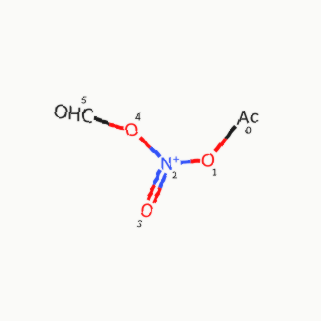 CC(=O)O[N+](=O)OC=O